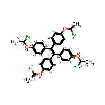 CC(Br)Oc1ccc(C(=C(c2ccc(OC(C)Br)cc2)c2ccc(OC(C)Br)cc2)c2ccc(OC(C)Br)cc2)cc1